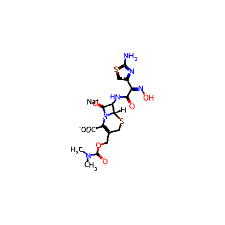 CN(C)C(=O)OCC1=C(C(=O)[O-])N2C(=O)C(NC(=O)/C(=N\O)c3csc(N)n3)[C@@H]2SC1.[Na+]